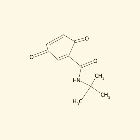 CC(C)(C)NC(=O)C1=CC(=O)C=CC1=O